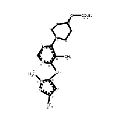 CCOC(=O)OC1CCN(c2ncnc(Oc3cc(C(F)(F)F)nn3C)c2C)CC1